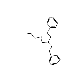 NCCNCC(CCc1ccccc1)CCc1ccccc1